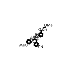 COCCNC(=O)c1cccc(S(=O)(=O)NC(Cc2cccc(C#N)c2)c2nc3ccc(OC)cc3s2)c1